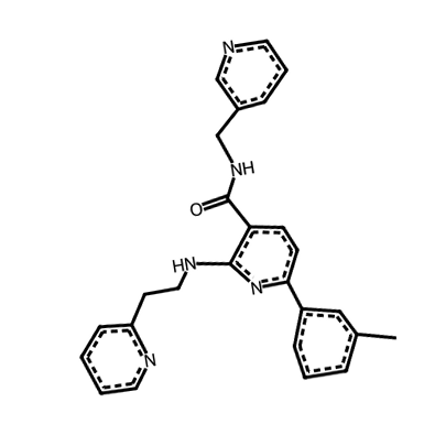 Cc1cccc(-c2ccc(C(=O)NCc3cccnc3)c(NCCc3ccccn3)n2)c1